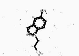 Bc1ccc2c(cnn2CCC)c1